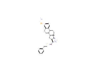 CCc1cc2c(cc1OS(N)(=O)=O)CCC1C2CCC2(C)c3n[nH]c(C(=O)NCCc4ccccc4)c3CC12